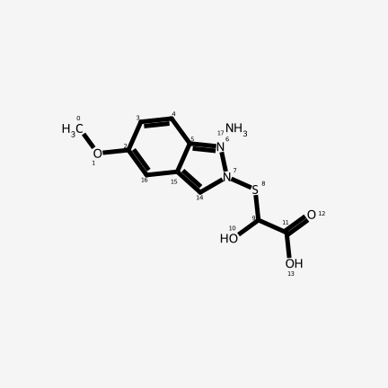 COc1ccc2nn(SC(O)C(=O)O)cc2c1.N